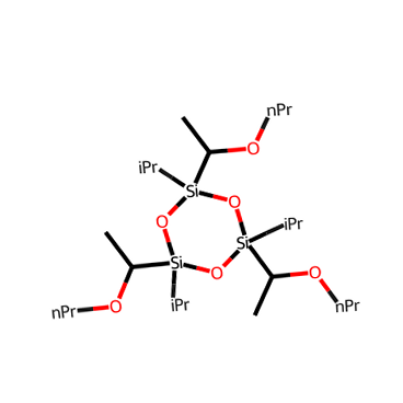 CCCOC(C)[Si]1(C(C)C)O[Si](C(C)C)(C(C)OCCC)O[Si](C(C)C)(C(C)OCCC)O1